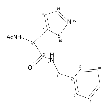 CC(=O)NC(C(=O)NCc1ccccc1)c1ccns1